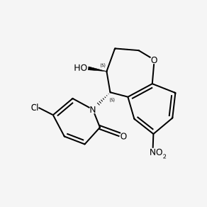 O=c1ccc(Cl)cn1[C@H]1c2cc([N+](=O)[O-])ccc2OCC[C@@H]1O